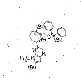 Cn1c(C(C)(C)C)cc2ncc(C3CCC[C@@H](C(C)(C)C)[C@H](CO[Si](c4ccccc4)(c4ccccc4)C(C)(C)C)N3)nc21